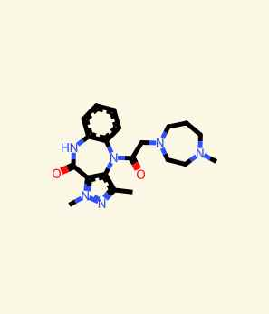 Cc1nn(C)c2c1N(C(=O)CN1CCCN(C)CC1)c1ccccc1NC2=O